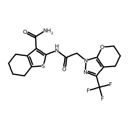 NC(=O)c1c(NC(=O)Cn2nc(C(F)(F)F)c3c2OCCC3)sc2c1CCCC2